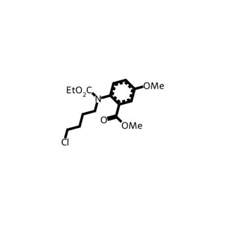 CCOC(=O)N(CCCCCl)c1ccc(OC)cc1C(=O)OC